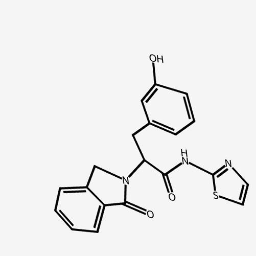 O=C(Nc1nccs1)C(Cc1cccc(O)c1)N1Cc2ccccc2C1=O